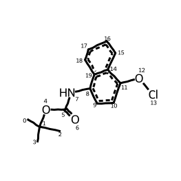 CC(C)(C)OC(=O)Nc1ccc(OCl)c2ccccc12